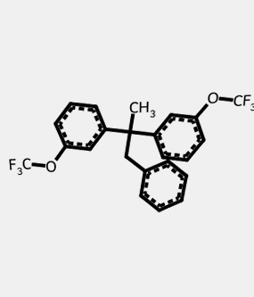 CC(Cc1ccccc1)(c1cccc(OC(F)(F)F)c1)c1cccc(OC(F)(F)F)c1